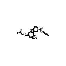 CCCCOC(=O)N1CCc2nn3c(c2C1)-c1nocc1CC(COCC(F)F)C3